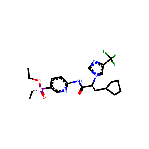 CCO[P@@](=O)(CC)c1ccc(NC(=O)[C@H](CC2CCCC2)n2cnc(C(F)(F)F)c2)nc1